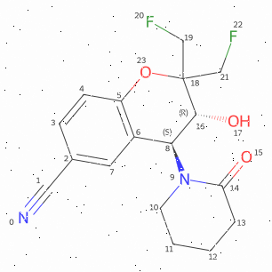 N#Cc1ccc2c(c1)[C@H](N1CCCCC1=O)[C@@H](O)C(CF)(CF)O2